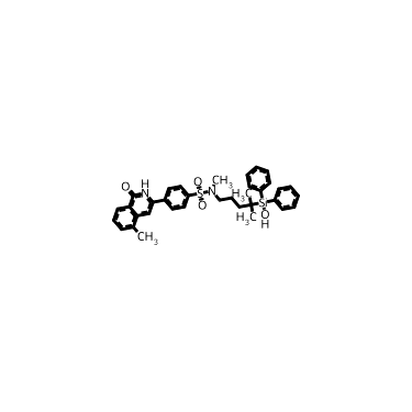 Cc1cccc2c(=O)[nH]c(-c3ccc(S(=O)(=O)N(C)CCCC(C)(C)[Si](O)(c4ccccc4)c4ccccc4)cc3)cc12